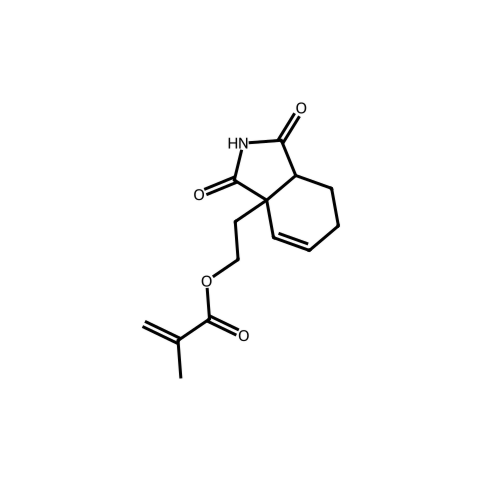 C=C(C)C(=O)OCCC12C=CCCC1C(=O)NC2=O